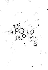 CCCc1cc(C=CC(=O)C2=CCC(=S)C=C2)c(OC(C)(C)C)cc1OC(C)(C)C